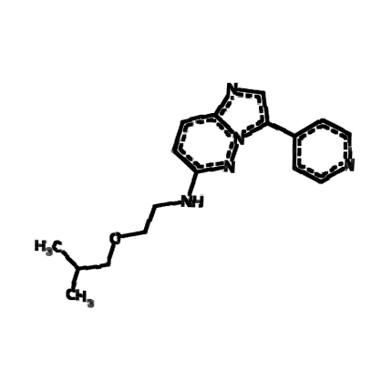 CC(C)COCCNc1ccc2ncc(-c3ccncc3)n2n1